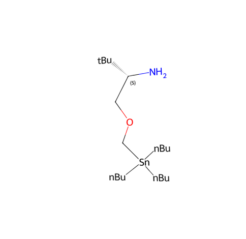 CCC[CH2][Sn]([CH2]CCC)([CH2]CCC)[CH2]OC[C@@H](N)C(C)(C)C